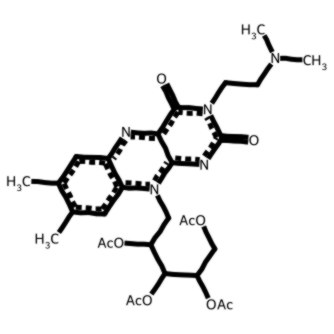 CC(=O)OCC(OC(C)=O)C(OC(C)=O)C(Cn1c2nc(=O)n(CCN(C)C)c(=O)c-2nc2cc(C)c(C)cc21)OC(C)=O